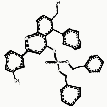 Cc1cccc(-c2cc(OP(=O)(OCc3ccccc3)OCc3ccccc3)c3c(-c4ccccc4)c(CO)ccc3n2)c1